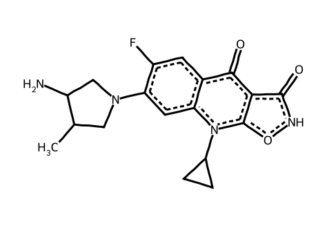 CC1CN(c2cc3c(cc2F)c(=O)c2c(=O)[nH]oc2n3C2CC2)CC1N